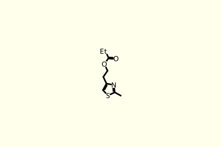 CCC(=O)OCCc1csc(C)n1